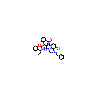 CC[C@H](NC(=O)c1c(CN2CCN(CCc3ccccc3)CC2)n(-c2ccc(Cl)cc2)c(=O)c2ccccc12)c1ccccc1